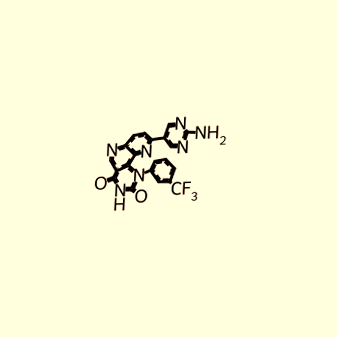 Nc1ncc(-c2ccc3ncc4c(=O)[nH]c(=O)n(-c5cccc(C(F)(F)F)c5)c4c3n2)cn1